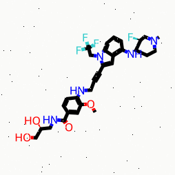 COc1cc(C(=O)NC[C@@H](O)CO)ccc1NCC#Cc1cc2c(N[C@@H]3CCN(C)C[C@@H]3F)cccc2n1CC(F)(F)F